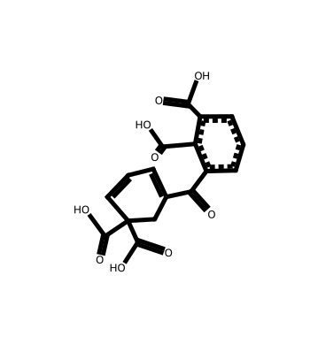 O=C(O)c1cccc(C(=O)C2=CC=CC(C(=O)O)(C(=O)O)C2)c1C(=O)O